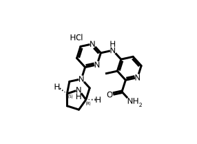 Cc1c(Nc2nccc(N3C[C@H]4CC[C@@H](C3)N4)n2)ccnc1C(N)=O.Cl